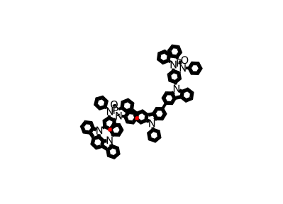 O=P1(c2ccccc2)N(c2ccccc2)c2ccc(-n3c4ccccc4c4cc(-c5ccc6c(c5)c5cc(-c7cccc(P8(=O)N(c9ccccc9)c9ccc(-n%10c%11ccccc%11c%11ccc%12c%13ccccc%13n(-c%13ccccc%13)c%12c%11%10)cc9N8c8ccccc8)c7)ccc5n6-c5ccccc5)ccc43)cc2N1c1ccccc1